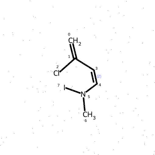 C=C(Cl)/C=C\N(C)I